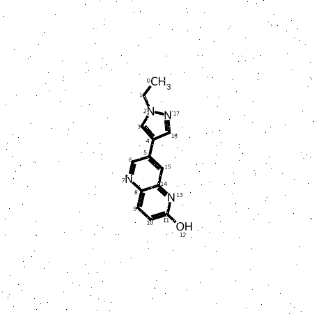 CCn1cc(-c2cnc3ccc(O)nc3c2)cn1